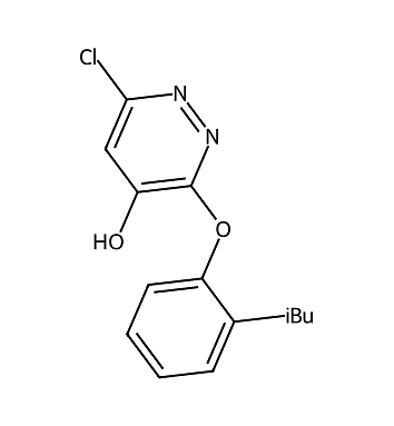 CCC(C)c1ccccc1Oc1nnc(Cl)cc1O